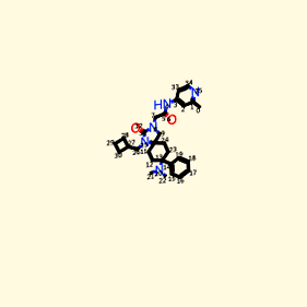 Cc1cc(NC(=O)CN2CC3(CCC(c4ccccc4)(N(C)C)CC3)N(CC3CCC3)C2=O)ccn1